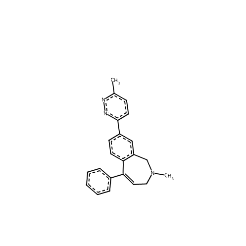 Cc1ccc(-c2ccc3c(c2)CN(C)CC=C3c2ccccc2)nn1